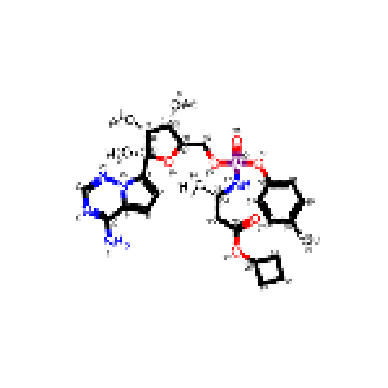 CC(=O)O[C@H]1[C@@H](OC(C)=O)[C@](C)(c2ccc3c(N)ncnn23)O[C@@H]1COP(=O)(N[C@@H](C)CC(=O)OC1CCC1)Oc1ccc(C(C)(C)C)cc1